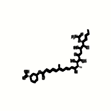 CC/C=C/[C@@H](OC(N)=O)[C@@H](Cl)[C@H](O)CC(=O)[C@@H](O)[C@H](O)[C@H](C)/C(Cl)=C/C=C/C=C(C)/C=C/C=C/C(=O)O[C@H]1CCC[C@H](C(=O)O)C1